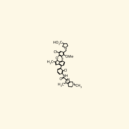 COc1c(CN2CCC(C(=O)O)C2)cc(Cl)c(OC2C(C)=Cc3c(-c4cccc(NC(=O)c5nc6c(n5C)CCN(C)C6)c4Cl)cccc32)c1F